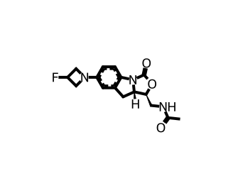 CC(=O)NC[C@@H]1OC(=O)N2c3ccc(N4CC(F)C4)cc3C[C@@H]12